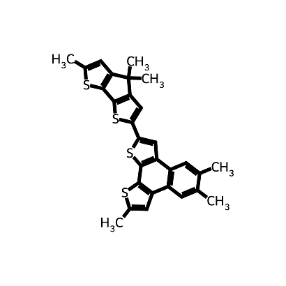 Cc1cc2c(s1)-c1sc(-c3cc4c5cc(C)c(C)cc5c5cc(C)sc5c4s3)cc1C2(C)C